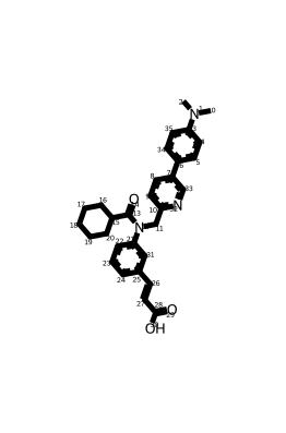 CN(C)c1ccc(-c2ccc(CN(C(=O)C3CCCCC3)c3cccc(C=CC(=O)O)c3)nc2)cc1